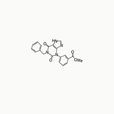 COC(=O)c1cccc(-n2c(=O)n(Cc3ccccc3)c(=O)c3[nH]cnc32)c1